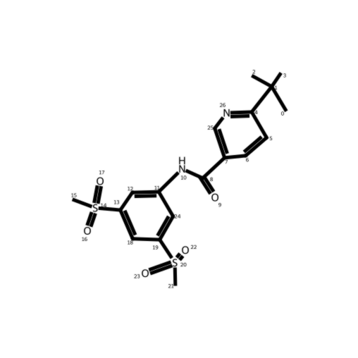 CC(C)(C)c1ccc(C(=O)Nc2cc(S(C)(=O)=O)cc(S(C)(=O)=O)c2)cn1